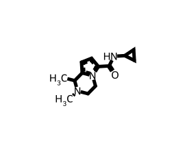 CC1c2ccc(C(=O)NC3CC3)n2CCN1C